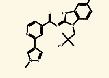 Cc1ccc2c(c1)[nH]/c(=N\C(=O)c1ccnc(-c3cnn(C)c3)c1)n2CC(C)(C)O